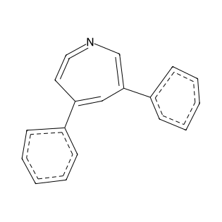 C1=CC(c2ccccc2)=CC(c2ccccc2)=CN=1